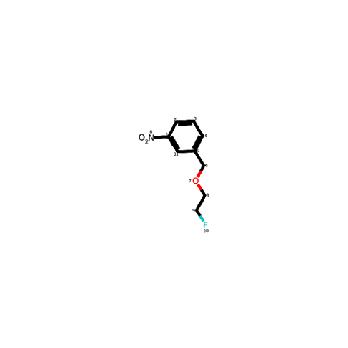 O=[N+]([O-])c1cccc(COCCF)c1